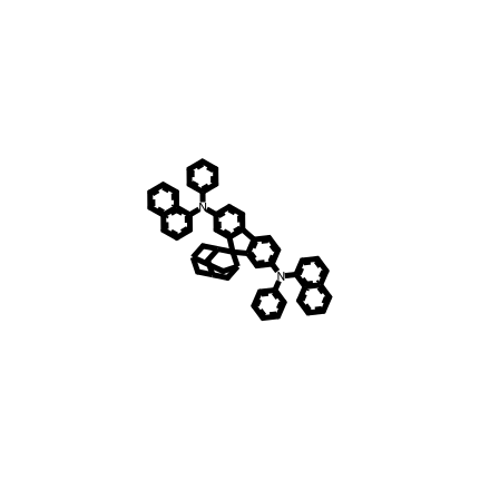 c1ccc(N(c2ccc3c(c2)C2(c4cc(N(c5ccccc5)c5cccc6ccccc56)ccc4-3)C3CC4CC(C3)CC2C4)c2cccc3ccccc23)cc1